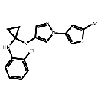 CC(=O)c1cc(-n2cc(NC3(Nc4ccccc4Cl)CC3)cn2)cs1